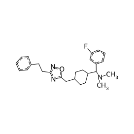 CN(C)C(c1cccc(F)c1)C1CCC(Cc2nc(CCc3ccccc3)no2)CC1